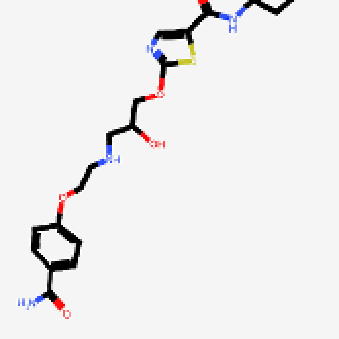 CCC(C)CCCNC(=O)c1cnc(OCC(O)CNCCOc2ccc(C(N)=O)cc2)s1